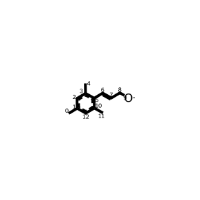 Cc1cc(C)c(C=CC[O])c(C)c1